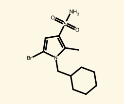 Cc1c(S(N)(=O)=O)cc(Br)n1CC1CCCCC1